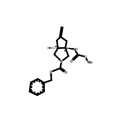 C=C1C[C@@H]2CN(C(=O)OCc3ccccc3)C[C@@]2(NC(=O)OC(C)(C)C)C1